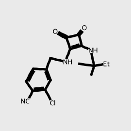 CCC(C)(C)Nc1c(NCc2ccc(C#N)c(Cl)c2)c(=O)c1=O